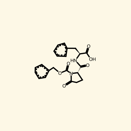 O=C(O)[C@H](Cc1ccccc1)NC(=O)[C@@H]1CCC(=O)N1C(=O)OCc1ccccc1